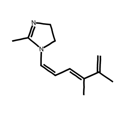 C=C(C)/C(C)=C/C=C\N1CCN=C1C